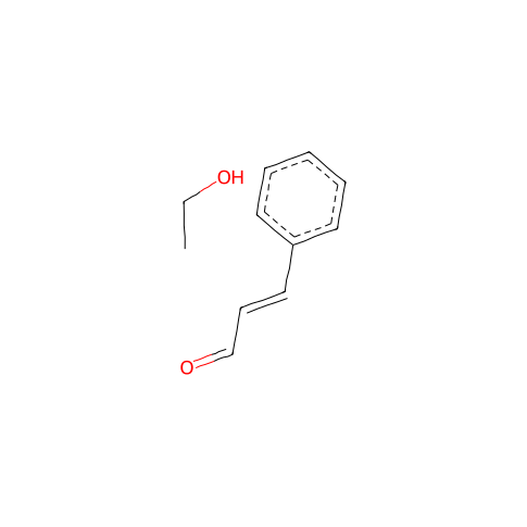 CCO.O=C/C=C/c1ccccc1